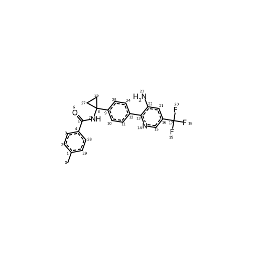 Cc1ccc(C(=O)NC2(c3ccc(-c4ncc(C(F)(F)F)cc4N)cc3)CC2)cc1